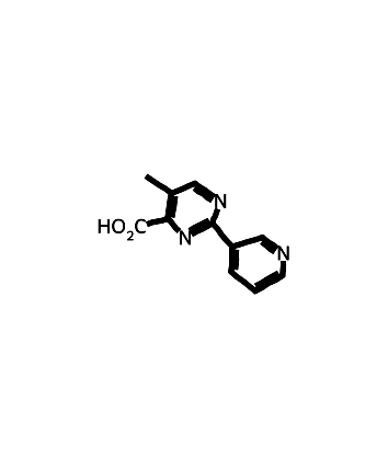 Cc1cnc(-c2cccnc2)nc1C(=O)O